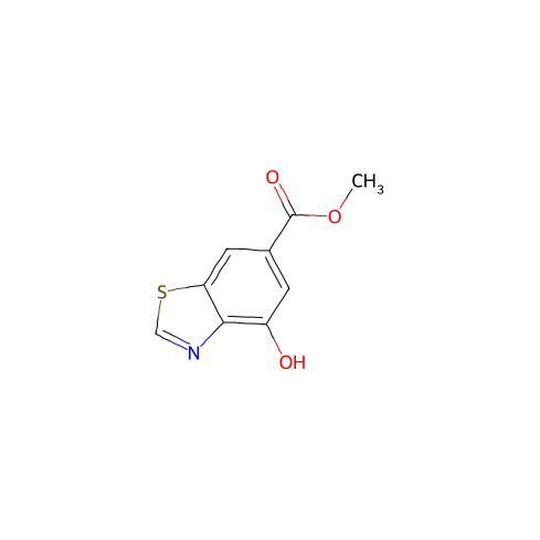 COC(=O)c1cc(O)c2ncsc2c1